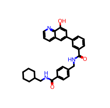 O=C(NCc1ccc(C(=O)NCC2CCCCC2)cc1)c1cccc(-c2cc(O)c3ncccc3c2)c1